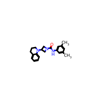 Cc1cc(C)cc(NC(=O)N2CC(N3CCCc4ccccc43)C2)c1